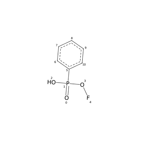 O=P(O)(OF)c1ccccc1